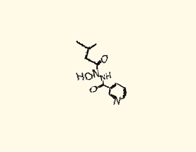 CC(C)CC(=O)N(O)NC(=O)c1cccnc1